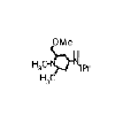 COCC1CC(NC(C)C)CC(C)N1C